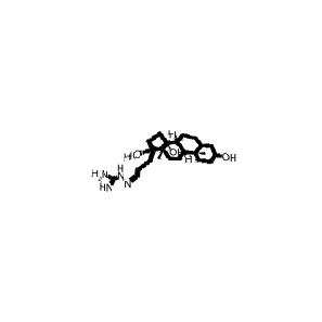 C[C@]12CCC(O)CC1CC[C@@H]1[C@H]2CC[C@]2(C)C(O)(CC/C=N\NC(=N)N)CC[C@@]12O